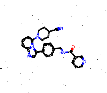 N#CC1CCN(c2cccc3ncc(-c4ccc(CNC(=O)c5cccnc5)cc4)n23)CC1